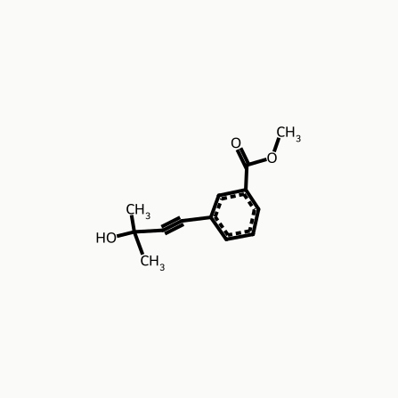 COC(=O)c1cccc(C#CC(C)(C)O)c1